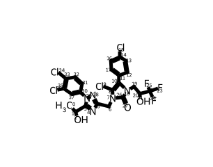 CC(O)c1nc(Cn2c(Cl)c(-c3ccc(Cl)cc3)n(CC(O)C(F)(F)F)c2=O)nn1-c1ccc(Cl)c(Cl)c1